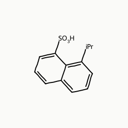 CC(C)c1cccc2cccc(S(=O)(=O)O)c12